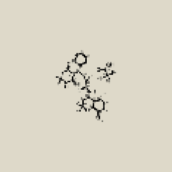 CC1(C)CC(=O)N([C@@H](c2cccnc2)[C@@H]2C[C@H]2C(=O)NC2CC(C)(C)Oc3c(C(F)(F)F)ccc(F)c32)C(=N)N1.O=C(O)C(F)(F)F